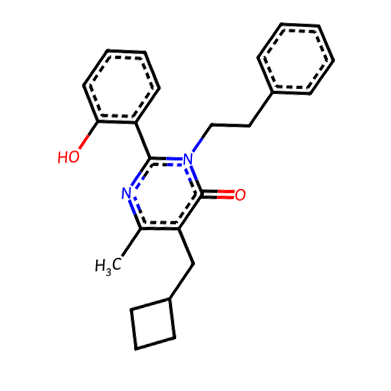 Cc1nc(-c2ccccc2O)n(CCc2ccccc2)c(=O)c1CC1CCC1